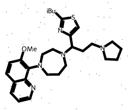 CCC(C)c1nc(C(CCN2CCCC2)N2CCCN(c3c(OC)ccc4cccnc34)CC2)cs1